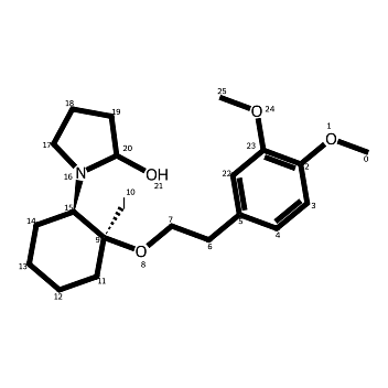 COc1ccc(CCO[C@@]2(I)CCCC[C@H]2N2CCCC2O)cc1OC